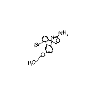 NC1=NC(c2ccc(OCCO)cc2)(c2cccc(Br)c2)CO1